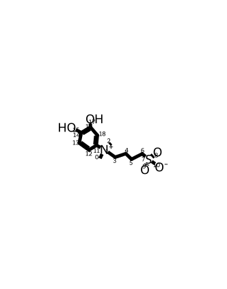 C[N+](C)(CCCCS(=O)(=O)[O-])c1ccc(O)c(O)c1